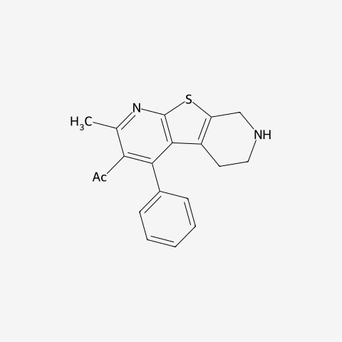 CC(=O)c1c(C)nc2sc3c(c2c1-c1ccccc1)CCNC3